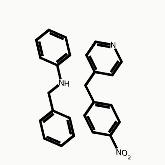 O=[N+]([O-])c1ccc(Cc2ccncc2)cc1.c1ccc(CNc2ccccc2)cc1